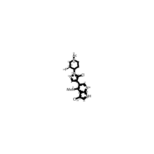 CNc1c(-c2cnn(C3CCN(C(C)=O)C[C@@H]3F)c2Cl)cnc2[nH]cc(Cl)c12